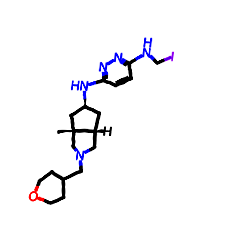 C[C@@]12C[C@@H](Nc3ccc(NCI)nn3)C[C@@H]1CN(CC1CCOCC1)C2